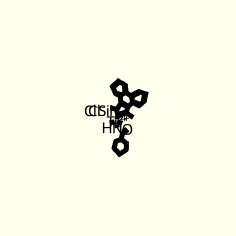 CC1=[C]([Ti+2]([CH3])([CH3])[NH]C(=O)C2CCCCC2)C(C)c2c1c1ccccc1c1ccccc21.[Cl-].[Cl-].[SiH4]